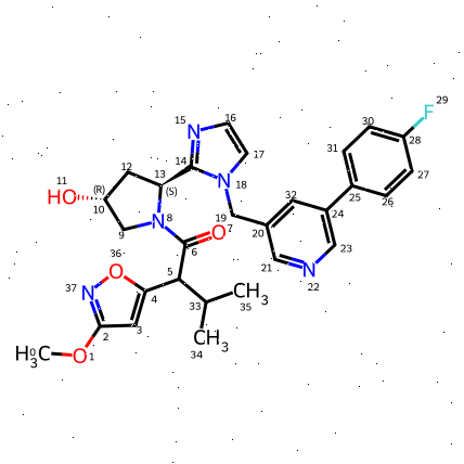 COc1cc(C(C(=O)N2C[C@H](O)C[C@H]2c2nccn2Cc2cncc(-c3ccc(F)cc3)c2)C(C)C)on1